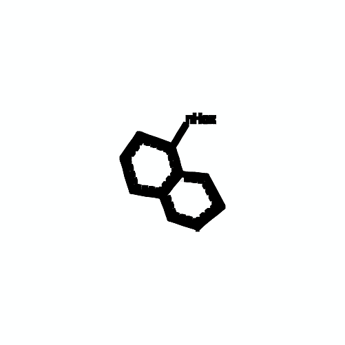 CCCCCCc1cccc2c[c]ccc12